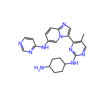 Cc1cnc(NC2CCC(N)CC2)nc1-c1cnc2ccc(Nc3ccncn3)cn12